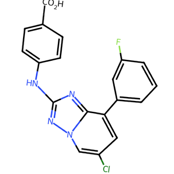 O=C(O)c1ccc(Nc2nc3c(-c4cccc(F)c4)cc(Cl)cn3n2)cc1